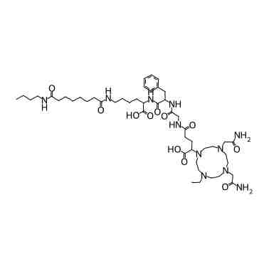 CCCCNC(=O)CCCCCCC(=O)NCCCCC(NC(=O)C(Cc1ccccc1)NC(=O)CNC(=O)CCC(C(=O)O)N1CCN(CC)CCN(CC(N)=O)CCN(CC(N)=O)CC1)C(=O)O